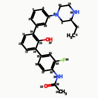 CC[C@H]1CN(c2cccc(-c3cccc(-c4ccc(NC(C)=O)c(F)c4)c3O)c2)CCN1